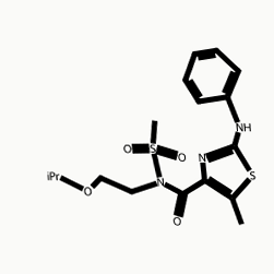 Cc1sc(Nc2ccccc2)nc1C(=O)N(CCOC(C)C)S(C)(=O)=O